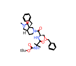 CN1C[C@@H]2CCN(C(=O)[C@@H](COCc3ccccc3)NC(=O)C(C)(C)NC(=O)OC(C)(C)C)C[C@@]2(Cc2ccccc2)C1=O